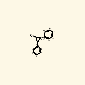 BrC1C(c2ccccc2)[C@H]1c1ccccc1